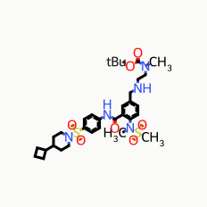 CN(CCNCc1ccc(N(C)S(C)(=O)=O)c(C(=O)Nc2ccc(S(=O)(=O)N3CCC(C4CCC4)CC3)cc2)c1)C(=O)OC(C)(C)C